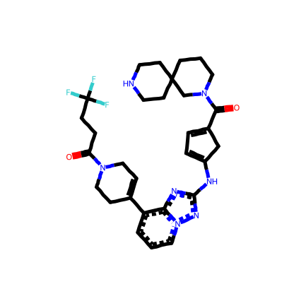 O=C(CCC(F)(F)F)N1CC=C(c2cccn3nc(NC4=CC=C(C(=O)N5CCCC6(CCNCC6)C5)C4)nc23)CC1